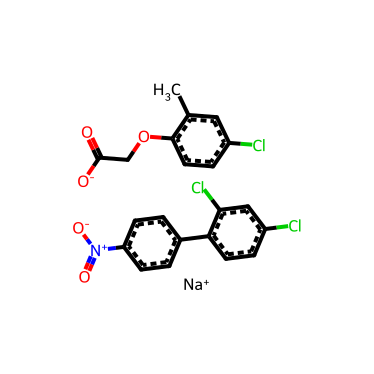 Cc1cc(Cl)ccc1OCC(=O)[O-].O=[N+]([O-])c1ccc(-c2ccc(Cl)cc2Cl)cc1.[Na+]